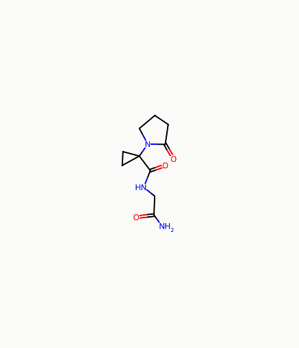 NC(=O)CNC(=O)C1(N2CCCC2=O)CC1